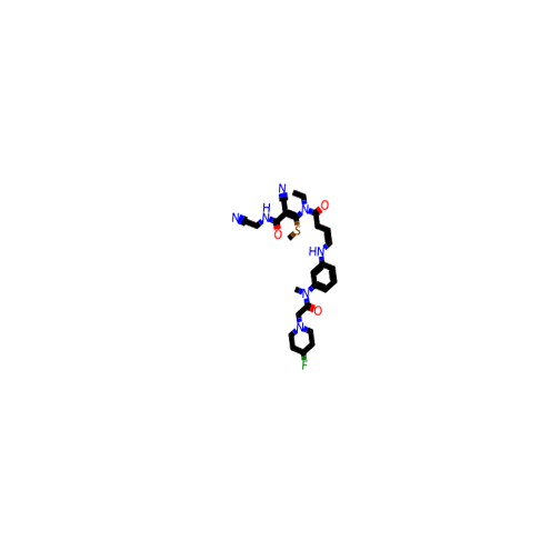 CCN(C(=O)C/C=C\Nc1cccc(N(C)C(=O)CN2CCC(F)CC2)c1)/C(SC)=C(\C#N)C(=O)NCC#N